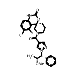 CO[C@@H](C)[C@@H](c1ccccc1)n1cc(C(=O)N2CCC[C@@]3(C2)OC(=O)Nc2ccc(Cl)c(F)c23)cn1